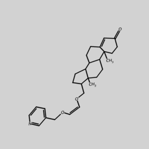 CC12CCC(=O)C=C1CCC1C2CCC2(C)C(CO/C=C\OCc3cccnc3)CCC12